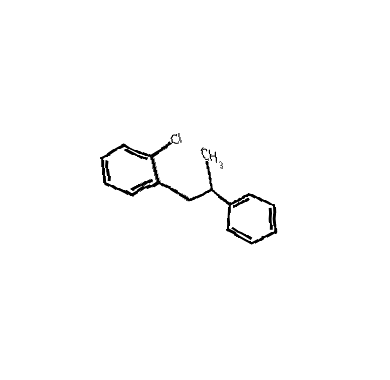 CC(Cc1ccccc1Cl)c1ccccc1